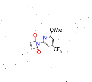 COc1cc(C(F)(F)F)cc(N2C(=O)C=CC2=O)n1